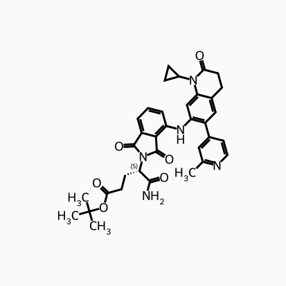 Cc1cc(-c2cc3c(cc2Nc2cccc4c2C(=O)N([C@@H](CCC(=O)OC(C)(C)C)C(N)=O)C4=O)N(C2CC2)C(=O)CC3)ccn1